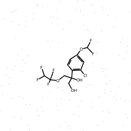 OCC(O)(COC(F)(F)C(F)F)c1ccc(OC(F)F)cc1Cl